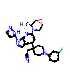 C[C@@H]1COCCN1c1cc(C2(CC#N)CCN(c3cccc(F)c3)CC2)c2cnn(-c3ccn[nH]3)c2n1